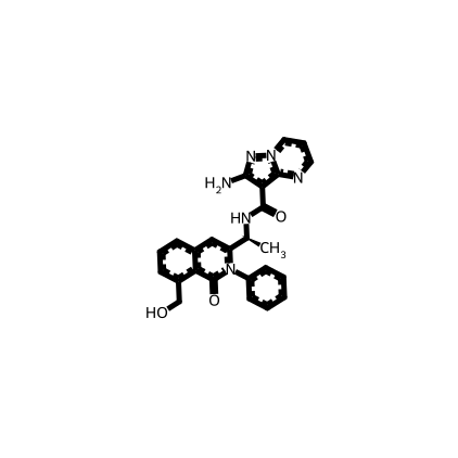 C[C@H](NC(=O)c1c(N)nn2cccnc12)c1cc2cccc(CO)c2c(=O)n1-c1ccccc1